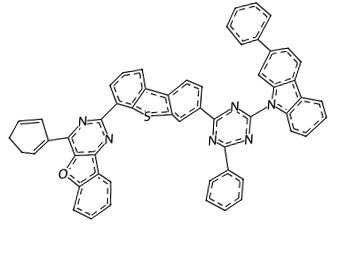 C1=CC(c2nc(-c3cccc4c3sc3cc(-c5nc(-c6ccccc6)nc(-n6c7ccccc7c7ccc(-c8ccccc8)cc76)n5)ccc34)nc3c2oc2ccccc23)=CCC1